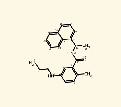 Cc1ccc(NCCN)cc1C(=O)N[C@H](C)c1cccc2ccccc12